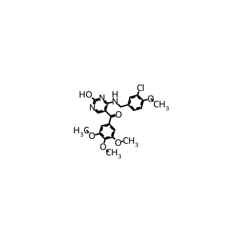 COc1ccc(CNc2nc(O)ncc2C(=O)c2cc(OC)c(OC)c(OC)c2)cc1Cl